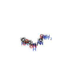 CC(C)(CCn1cnc2cc(C(=O)NN)ccc21)NCC(O)c1cccc(NS(=O)(=O)c2ccccc2)c1